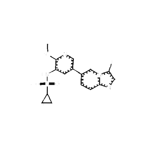 COc1ncc(-c2ccc3ncc(I)n3c2)cc1NS(=O)(=O)C1CC1